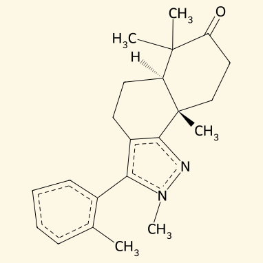 Cc1ccccc1-c1c2c(nn1C)[C@@]1(C)CCC(=O)C(C)(C)[C@@H]1CC2